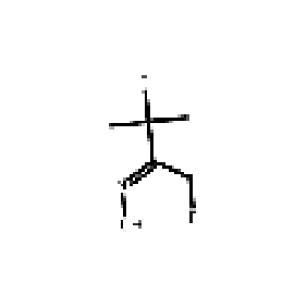 CC(C)(F)C(CF)=NO